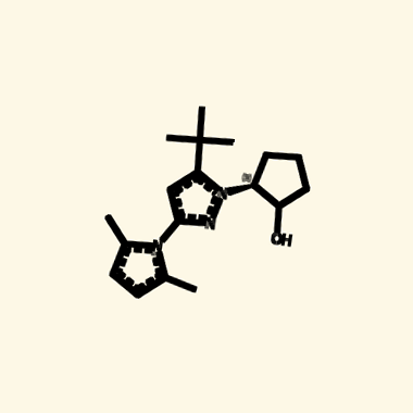 Cc1ccc(C)n1-c1cc(C(C)(C)C)n([C@H]2CCCC2O)n1